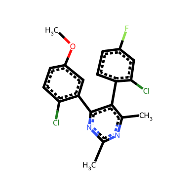 COc1ccc(Cl)c(-c2nc(C)nc(C)c2-c2ccc(F)cc2Cl)c1